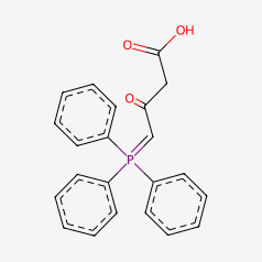 O=C(O)CC(=O)C=P(c1ccccc1)(c1ccccc1)c1ccccc1